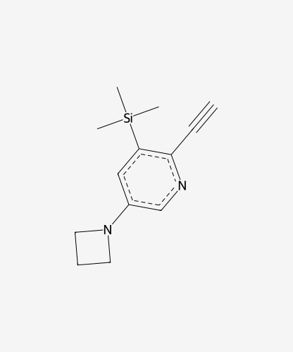 C#Cc1ncc(N2CCC2)cc1[Si](C)(C)C